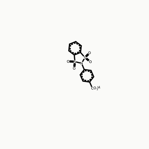 O=C(O)c1ccc(N2S(=O)(=O)c3ccccc3S2(=O)=O)cc1